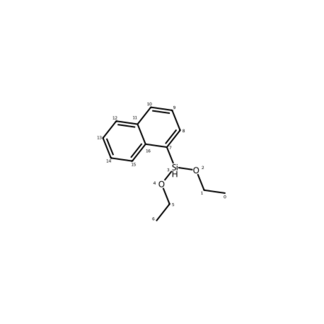 CCO[SiH](OCC)c1cccc2ccccc12